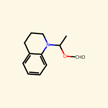 CC(OC=O)N1CCCc2ccccc21